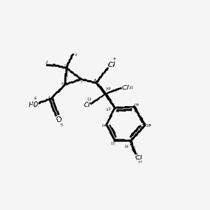 CC1(C)C(C(=O)O)C1C(Cl)C(Cl)(Cl)c1ccc(Cl)cc1